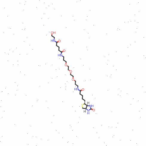 O=C(CCCC(=O)NCCCOCCOCCOCCCNC(=O)CCCC[C@@H]1SC[C@@H]2NC(=O)N[C@@H]21)NCCO